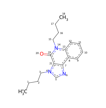 CCCCn1cnc2c3ccccc3n(CCCC)c(=O)c21